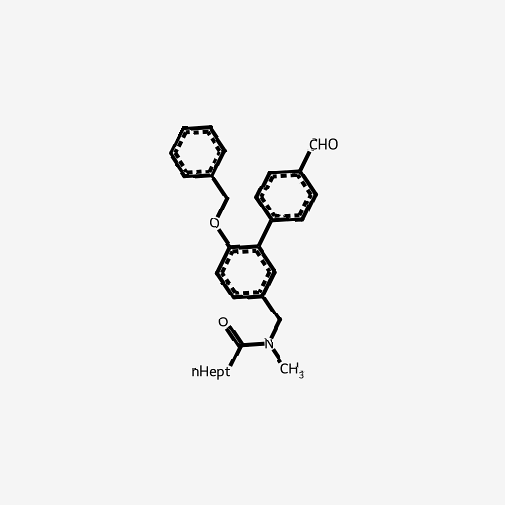 CCCCCCCC(=O)N(C)Cc1ccc(OCc2ccccc2)c(-c2ccc(C=O)cc2)c1